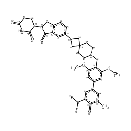 COc1cc(-c2cc(C(F)F)c(=O)n(C)c2)cc(OC)c1CN1CCC2(CC1)CN(c1ccc3c(c1)C(=O)N(C1CCC(=O)NC1=O)C3)C2